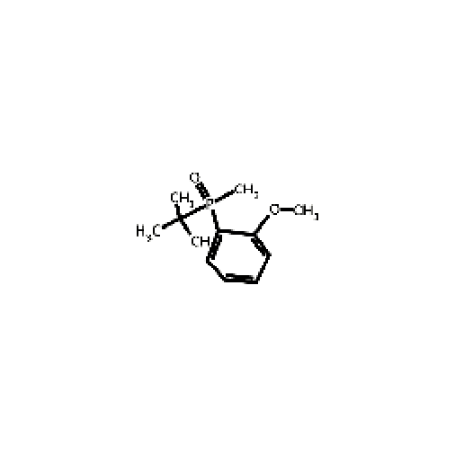 COc1ccccc1P(C)(=O)C(C)(C)C